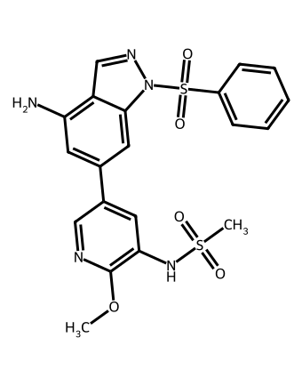 COc1ncc(-c2cc(N)c3cnn(S(=O)(=O)c4ccccc4)c3c2)cc1NS(C)(=O)=O